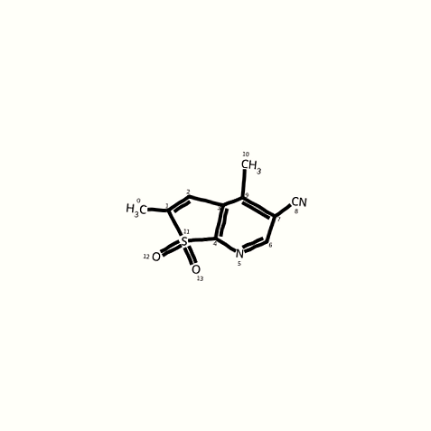 CC1=Cc2c(ncc(C#N)c2C)S1(=O)=O